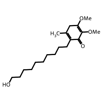 COC1=C(OC)C(=O)C(CCCCCCCCCCO)=C(C)C1